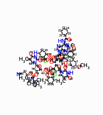 COc1ccc(C(OC[C@@H]2O[C@@H](n3cnc4c(NC(=O)c5ccccc5)ncnc43)C[C@@H]2C(OP(=O)(O)Oc2ccccc2Cl)[C@@H]2O[C@@H](n3cc(C)c(=O)[nH]c3=O)C[C@@H]2OP(=O)(OC[C@H]2OC(n3cc(C)c(=O)[nH]c3=O)CC2OP(OCCC#N)N(C(C)C)C(C)C)Oc2ccccc2Cl)(c2ccccc2)c2ccc(OC)cc2)cc1